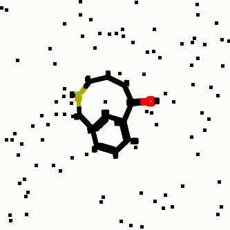 O=C1CCCSCc2cccc1c2